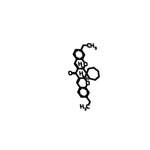 CCc1ccc2c(c1)O[C@@H]1C(=C2)C(=O)C2=Cc3ccc(CC)cc3O[C@H]2C12CCCCCC2